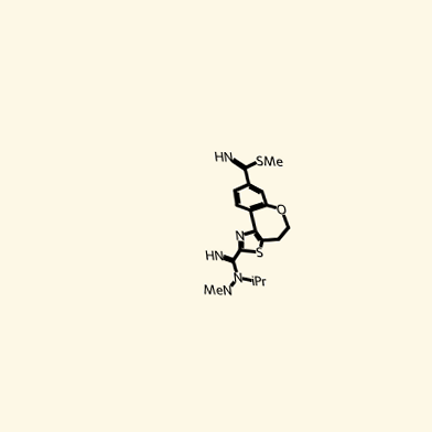 CNN(C(=N)c1nc2c(s1)CCOc1cc(C(=N)SC)ccc1-2)C(C)C